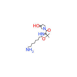 CC(C)(C)[C@H](NC(=O)CCCCCCCN)C(=O)N1CC[C@@H](O)C1